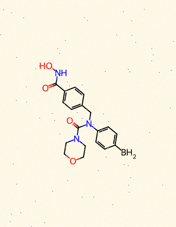 Bc1ccc(N(Cc2ccc(C(=O)NO)cc2)C(=O)N2CCOCC2)cc1